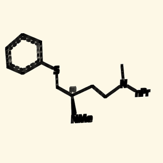 CCCN(C)CC[C@H](CSc1ccccc1)NC